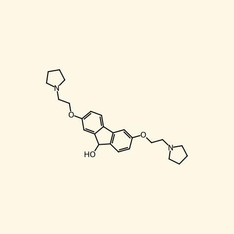 OC1c2ccc(OCCN3CCCC3)cc2-c2ccc(OCCN3CCCC3)cc21